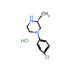 C[C@H]1CN(c2ccc(Cl)cc2)CCN1.Cl